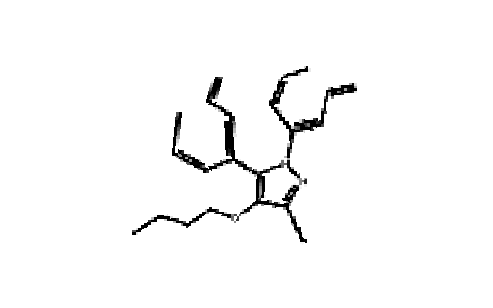 C=C/C=C(\C=C/C)c1c(OCCCC)c(C)nn1C(/C=C\C)=C/C=C